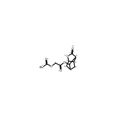 CCC(C)C(=O)OCC(=O)OC1C2CC3OC(=O)C1C3C2